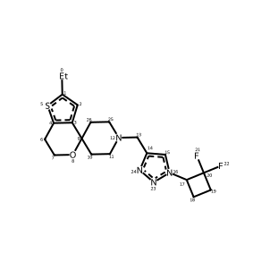 CCc1cc2c(s1)CCOC21CCN(Cc2cn(C3CCC3(F)F)nn2)CC1